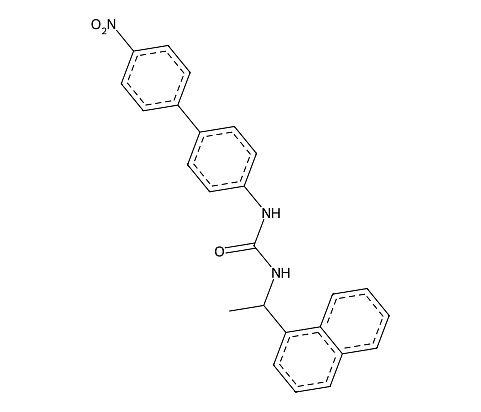 CC(NC(=O)Nc1ccc(-c2ccc([N+](=O)[O-])cc2)cc1)c1cccc2ccccc12